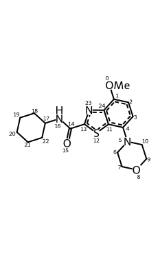 COc1ccc(N2CCOCC2)c2sc(C(=O)NC3CCCCC3)nc12